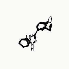 c1cc2cc(C3=NNC4(CC5CCC4CC5)N3)ccc2o1